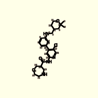 CC1(C)CC(CNc2cccc(-c3cc(NC(=O)C4CNCCOC4)ncc3Cl)n2)CCO1